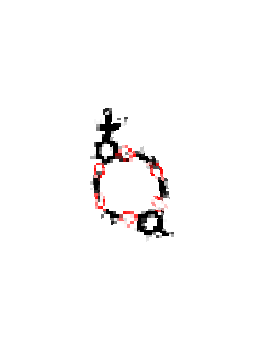 CC1CCC2OCCOCCOC3CCC(C(C)(C)C)CC3OCCOCCOC2C1